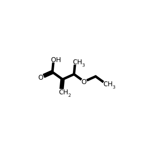 C=C(C(=O)O)C(C)OCC